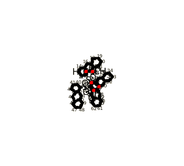 C[SiH2]O[Si](O[Si](O[Si](C)(C)C)(c1cccc2cc3ccccc3cc12)c1cccc2cc3ccccc3cc12)(c1cccc2cc3ccccc3cc12)c1cccc2cc3ccccc3cc12